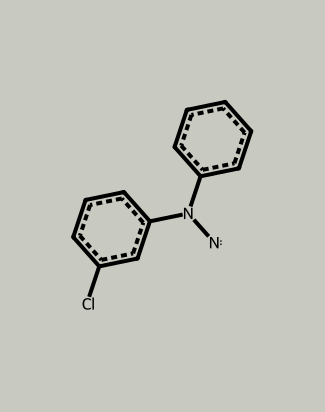 [N]N(c1ccccc1)c1cccc(Cl)c1